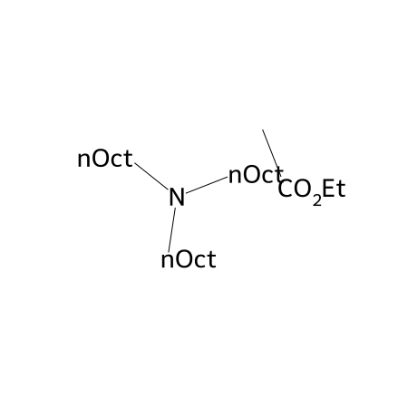 CCCCCCCCN(CCCCCCCC)CCCCCCCC.CCOC(C)=O